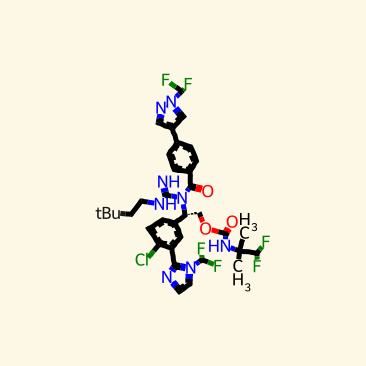 CC(C)(C)CCNC(=N)N(C(=O)c1ccc(-c2cnn(C(F)F)c2)cc1)[C@H](COC(=O)NC(C)(C)C(F)F)c1ccc(Cl)c(-c2nccn2C(F)F)c1